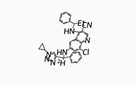 [2H]C(Nc1cc(Cl)c2ncc(C#N)c(NC(CC)c3ccccc3)c2c1)(c1ccccc1)c1cn(C2CC2)nn1